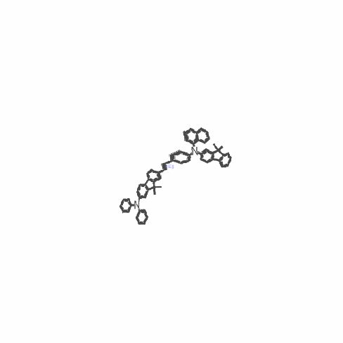 CC1(C)c2cc(/C=C/c3ccc(N(c4ccc5c(c4)C(C)(C)c4ccccc4-5)c4cccc5ccccc45)cc3)ccc2-c2ccc(N(c3ccccc3)c3ccccc3)cc21